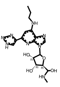 CCCNc1cc(-c2c[nH]nn2)nc2c1ncn2C1O[C@@H](C(O)NC)[C@H](O)[C@@H]1O